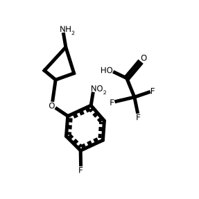 NC1CC(Oc2cc(F)ccc2[N+](=O)[O-])C1.O=C(O)C(F)(F)F